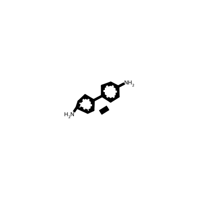 C#C.Nc1ccc(-c2ccc(N)cc2)cc1